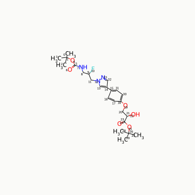 CC(C)(C)OC(=O)NCC(F)Cn1cc(-c2ccc(OC[C@@H](O)C(=O)OC(C)(C)C)cc2)cn1